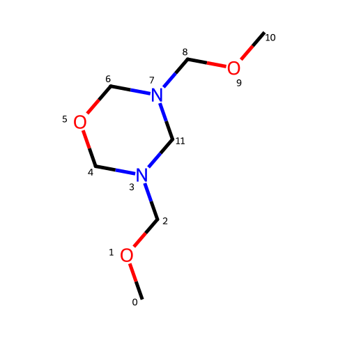 COCN1COCN(COC)C1